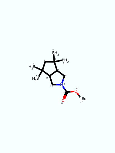 BC1(B)CC(B)(B)C2CN(C(=O)OC(C)(C)C)CC21